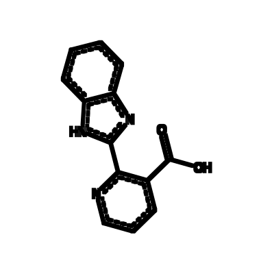 O=C(O)c1cccnc1-c1nc2ccccc2[nH]1